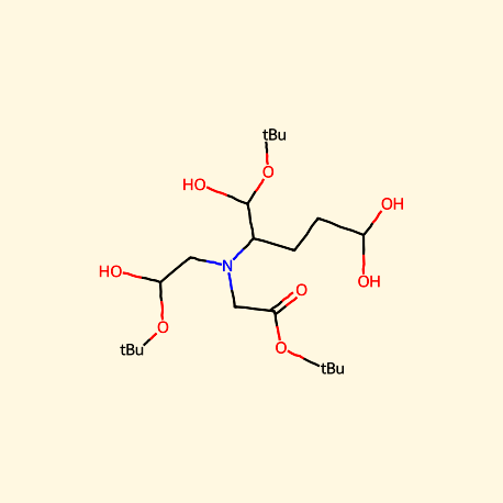 CC(C)(C)OC(=O)CN(CC(O)OC(C)(C)C)C(CCC(O)O)C(O)OC(C)(C)C